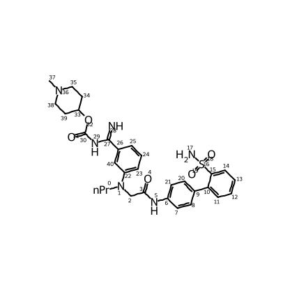 CCCN(CC(=O)Nc1ccc(-c2ccccc2S(N)(=O)=O)cc1)c1cccc(C(=N)NC(=O)OC2CCN(C)CC2)c1